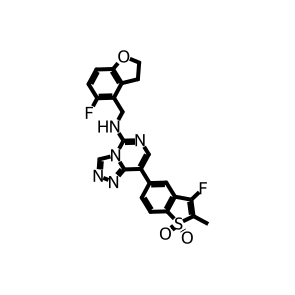 CC1=C(F)c2cc(-c3cnc(NCc4c(F)ccc5c4CCO5)n4cnnc34)ccc2S1(=O)=O